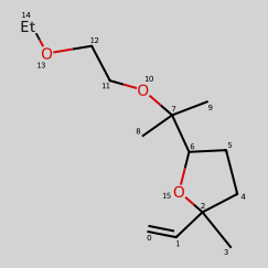 C=CC1(C)CCC(C(C)(C)OCCOCC)O1